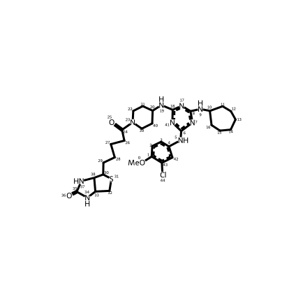 COc1ccc(Nc2nc(NC3CCCCCC3)nc(NC3CCN(C(=O)CCCCC4SCC5NC(=O)NC54)CC3)n2)cc1Cl